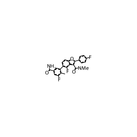 CNC(=O)c1c(-c2ccc(F)cc2)oc2ccc(-c3cc(C(N)=O)cc(F)c3C)c(F)c12